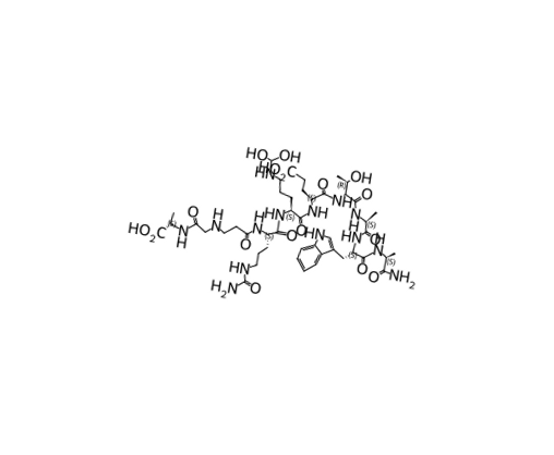 C[C@H](NC(=O)[C@H](Cc1c[nH]c2ccccc12)NC(=O)[C@H](C)NC(=O)C(NC(=O)[C@H](CCC(=O)O)NC(=O)[C@H](CCCNC(O)O)NC(=O)[C@H](CCCNC(N)=O)NC(=O)CCNCC(=O)N[C@@H](C)C(=O)O)[C@@H](C)O)C(N)=O